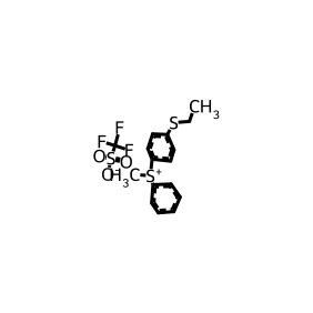 CCSc1ccc([S+](C)c2ccccc2)cc1.O=S(=O)([O-])C(F)(F)F